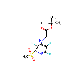 CC(C)(C)OC(=O)CNc1c(F)c(F)nc(S(C)(=O)=O)c1F